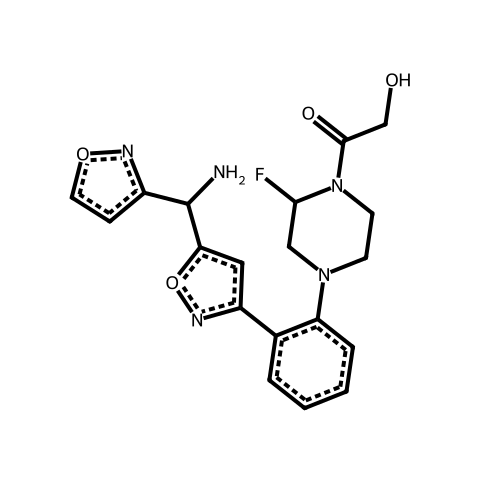 NC(c1ccon1)c1cc(-c2ccccc2N2CCN(C(=O)CO)C(F)C2)no1